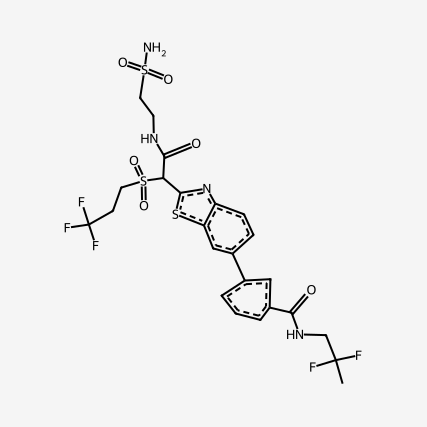 CC(F)(F)CNC(=O)c1cccc(-c2ccc3nc(C(C(=O)NCCS(N)(=O)=O)S(=O)(=O)CCC(F)(F)F)sc3c2)c1